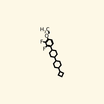 CCOc1ccc(C2CCC(C3CCC(C4CCC4)CC3)CC2)c(F)c1F